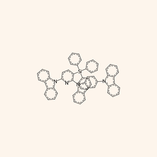 c1ccc([Si](c2ccccc2)(c2ccccc2)c2ccc(-n3c4ccccc4c4ccccc43)nc2-n2c3ccccc3c3cc(-n4c5ccccc5c5ccccc54)ccc32)cc1